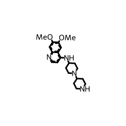 COc1cc2nccc(NC3CCN(C4CCNCC4)CC3)c2cc1OC